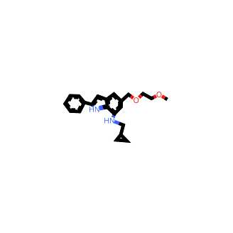 COCCOCc1cc(NCC2CC2)c2[nH]c(-c3ccccc3)cc2c1